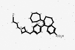 O=C(O)c1ccc2c(c1)CCCC(C1CCCCCC1)=C2c1ccc(CC2CN(CCCF)C2)cc1